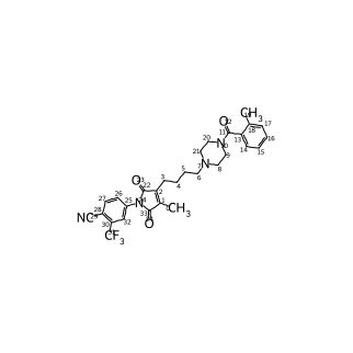 CC1=C(CCCCN2CCN(C(=O)c3ccccc3C)CC2)C(=O)N(c2ccc(C#N)c(C(F)(F)F)c2)C1=O